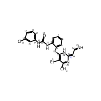 CCC1=C(Sc2ccccc2NC(=O)Nc2cccc(Cl)c2)N/C(=C\C=N)N=C1C